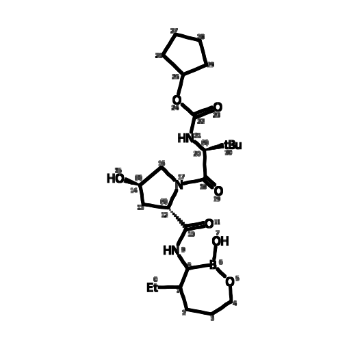 CCC1CCCOB(O)C1NC(=O)[C@@H]1C[C@@H](O)CN1C(=O)[C@@H](NC(=O)OC1CCCC1)C(C)(C)C